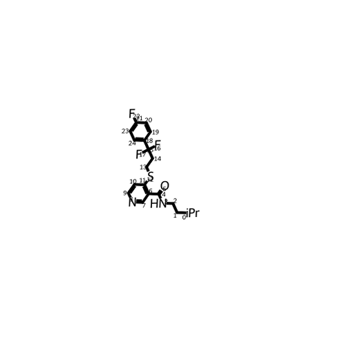 CC(C)CCNC(=O)c1cnccc1SCCC(F)(F)c1ccc(F)cc1